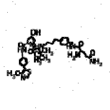 Cc1ncsc1-c1ccc(CNC(=O)[C@@H]2C[C@@H](O)CN2C(=O)[C@@H](NCCCCc2ccc(CNC(=O)[C@@H](N)CCC(N)=O)cc2)C(C)(C)C)cc1